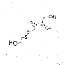 OCCSSC[C@@H](S)[C@H](O)CO